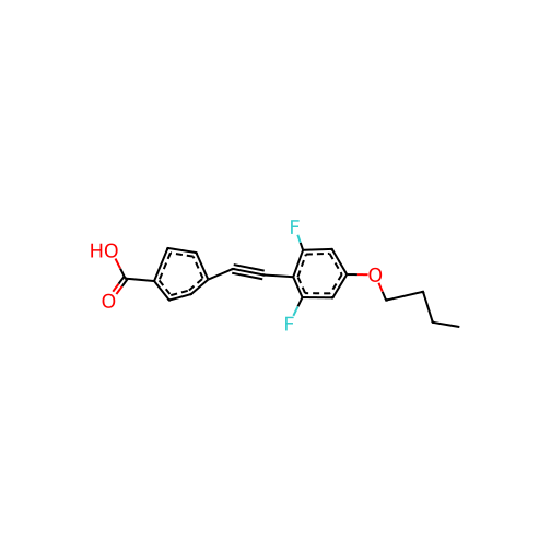 CCCCOc1cc(F)c(C#Cc2ccc(C(=O)O)cc2)c(F)c1